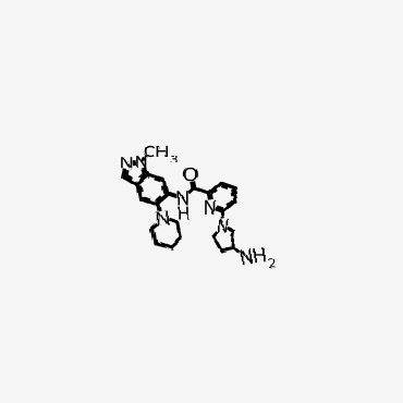 Cn1ncc2cc(N3CCCCC3)c(NC(=O)c3cccc(N4CCC(N)C4)n3)cc21